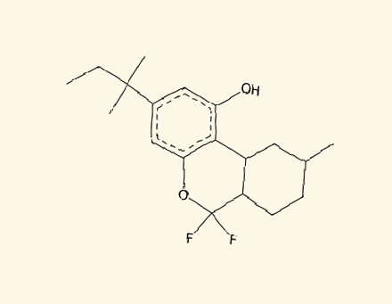 CCC(C)(C)c1cc(O)c2c(c1)OC(F)(F)C1CCC(C)CC21